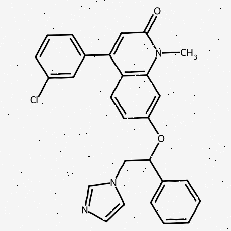 Cn1c(=O)cc(-c2cccc(Cl)c2)c2ccc(OC(Cn3ccnc3)c3ccccc3)cc21